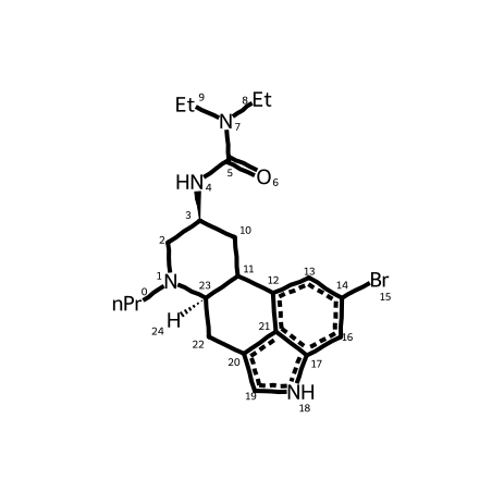 CCCN1C[C@@H](NC(=O)N(CC)CC)CC2c3cc(Br)cc4[nH]cc(c34)C[C@H]21